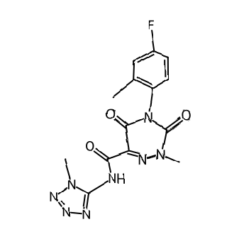 Cc1cc(F)ccc1-n1c(=O)c(C(=O)Nc2nnnn2C)nn(C)c1=O